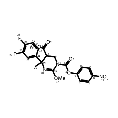 COC(=O)C1CN(C(=O)Oc2ccc([N+](=O)[O-])cc2)C(OC)=NC1(C)c1ccc(F)c(F)c1